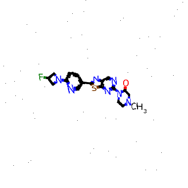 CN1CCN(c2ncc3nc(-c4ccc(N5CC(F)C5)nc4)sc3n2)C(=O)C1